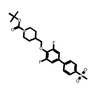 CC(C)(C)OC(=O)N1CCC(COc2c(F)cc(-c3ccc(S(C)(=O)=O)cc3)cc2F)CC1